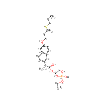 CCCS[SiH2]CCOc1ccc2cc(C(C)C(=O)OC3COP(=O)(OCC)O3)ccc2c1